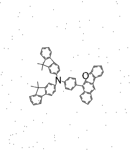 CC1(C)c2ccccc2-c2ccc(N(c3ccc(-c4c5ccccc5cc5c4oc4ccccc45)cc3)c3ccc4c(c3)C(C)(C)c3ccccc3-4)cc21